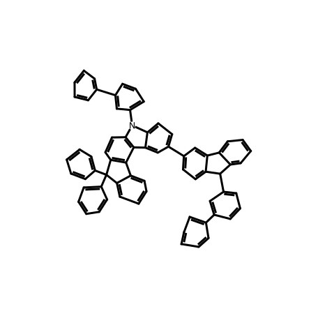 c1ccc(-c2cccc(C3c4ccccc4-c4cc(-c5ccc6c(c5)c5c7c(ccc5n6-c5cccc(-c6ccccc6)c5)C(c5ccccc5)(c5ccccc5)c5ccccc5-7)ccc43)c2)cc1